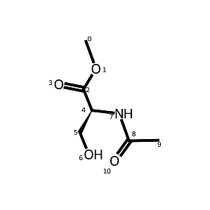 COC(=O)[C@H](CO)NC(C)=O